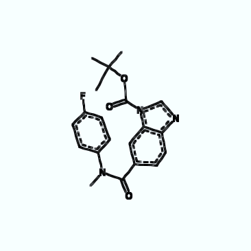 CN(C(=O)c1ccc2ncn(C(=O)OC(C)(C)C)c2c1)c1ccc(F)cc1